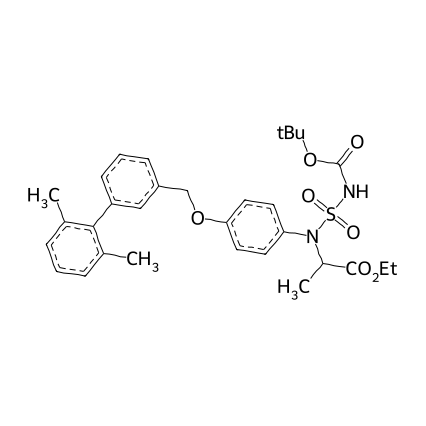 CCOC(=O)C(C)N(c1ccc(OCc2cccc(-c3c(C)cccc3C)c2)cc1)S(=O)(=O)NC(=O)OC(C)(C)C